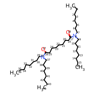 CCCCCCCCN(CCCCCCCC)C(=O)CCCCCCCC(=O)N(CCCCCCCC)CCCCCCCC